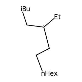 CCCCCCCC[C](CC)CC(C)CC